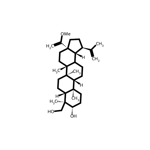 C=C(C)[C@@H]1CC[C@]2(C(=C)OC)CC[C@]3(C)C(CC[C@@H]4[C@@]5(C)CC[C@H](O)[C@@](C)(CO)[C@@H]5CC[C@]43C)[C@@H]12